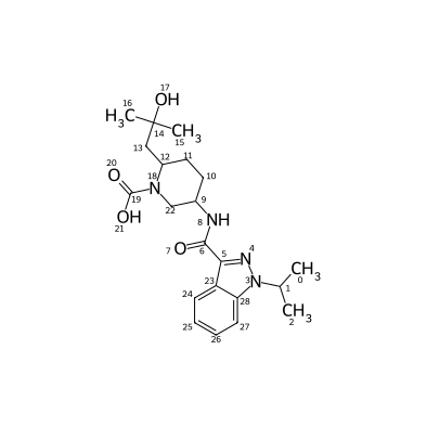 CC(C)n1nc(C(=O)NC2CCC(CC(C)(C)O)N(C(=O)O)C2)c2ccccc21